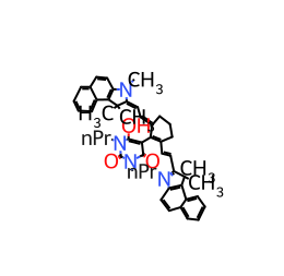 CCCn1c(O)c(C2=C(/C=C/C3=Nc4ccc5ccccc5c4C3(C)C)CCC/C2=C\C=C2\N(C)c3ccc4ccccc4c3C2(C)C)c(=O)n(CCC)c1=O